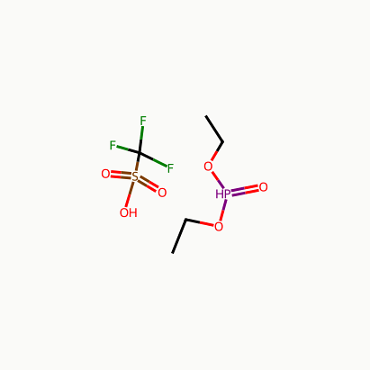 CCO[PH](=O)OCC.O=S(=O)(O)C(F)(F)F